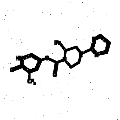 CC(C)C1CN(c2ncccn2)CCN1C(=O)Oc1c[nH]c(=O)c(C(F)(F)F)c1